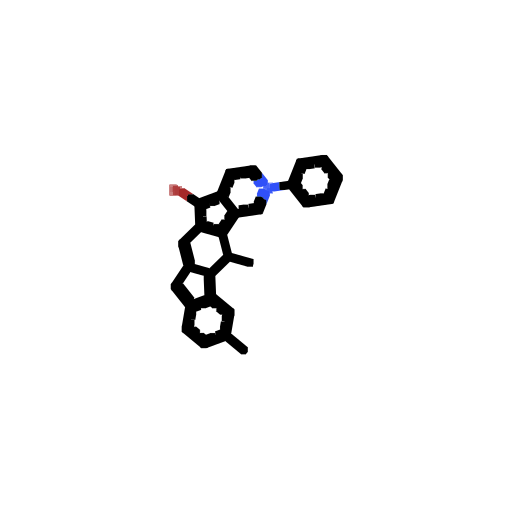 Cc1ccc2c(c1)=C1C(=Cc3c(Br)c4ccn(-c5ccccc5)cc-4c3C1C)C=2